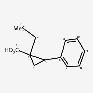 CSCC1(C(=O)O)CC1c1ccccc1